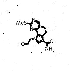 CSc1ncc2c(n1)-c1c(c(C(N)=O)cn1CCO)CC2